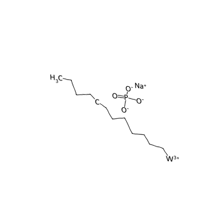 CCCCCCCCCCC[CH2][W+3].O=P([O-])([O-])[O-].[Na+]